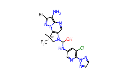 CCc1nn2c3c(cnc2c1N)N(C(O)Nc1cnc(-n2nccn2)c(Cl)c1)C[C@]3(C)C(F)(F)F